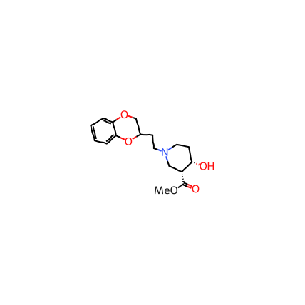 COC(=O)[C@@H]1CN(CCC2COc3ccccc3O2)CC[C@@H]1O